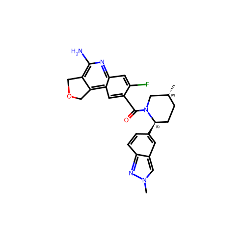 C[C@@H]1CC[C@@H](c2ccc3nn(C)cc3c2)N(C(=O)c2cc3c4c(c(N)nc3cc2F)COC4)C1